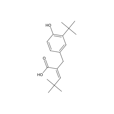 CC(C)(C)C=C(Cc1ccc(O)c(C(C)(C)C)c1)C(=O)O